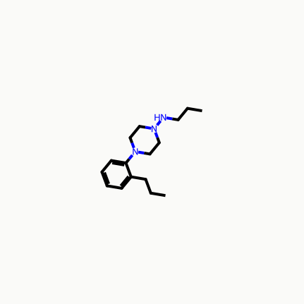 CCCNN1CCN(c2ccccc2CCC)CC1